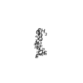 COC(=O)CC(=O)CN1CCN(c2cc(F)cc(F)c2)CC1